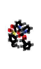 Cc1ccc([S+]([O-])CC(=O)[C@@H]2CCCN2C(=O)[C@@H]2CCCN2C(=O)OCc2ccccc2)cc1